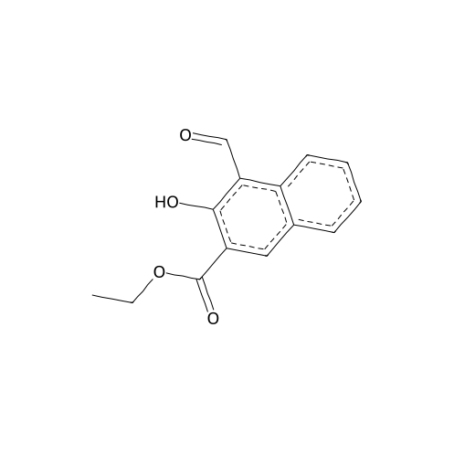 CCOC(=O)c1cc2ccccc2c(C=O)c1O